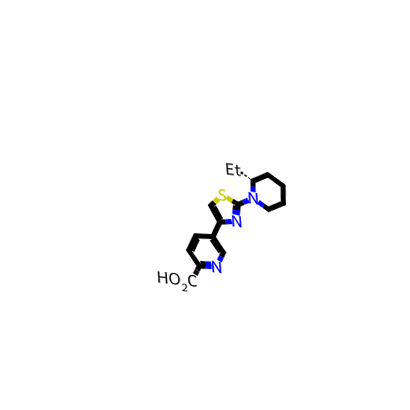 CC[C@@H]1CCCCN1c1nc(-c2ccc(C(=O)O)nc2)cs1